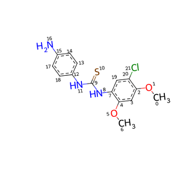 COc1cc(OC)c(NC(=S)Nc2ccc(N)cc2)cc1Cl